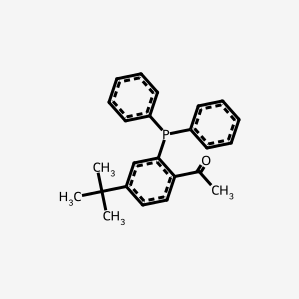 CC(=O)c1ccc(C(C)(C)C)cc1P(c1ccccc1)c1ccccc1